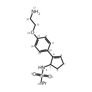 CCCS(=O)(=O)NC1CCC=C1c1ccc(OCCN)cc1